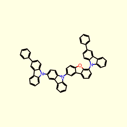 c1ccc(-c2ccc3c(c2)c2ccccc2n3-c2ccc3c(c2)c2ccccc2n3-c2ccc3oc4c(-n5c6ccccc6c6cc(-c7ccccc7)ccc65)cccc4c3c2)cc1